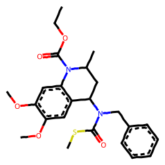 CCOC(=O)N1c2cc(OC)c(OC)cc2C(N(Cc2ccccc2)C(=O)SC)CC1C